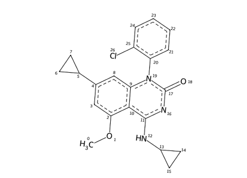 COc1cc(C2CC2)cc2c1c(NC1CC1)nc(=O)n2-c1ccccc1Cl